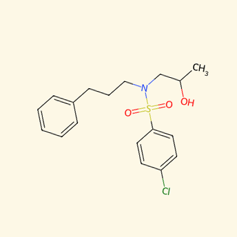 CC(O)CN(CCCc1ccccc1)S(=O)(=O)c1ccc(Cl)cc1